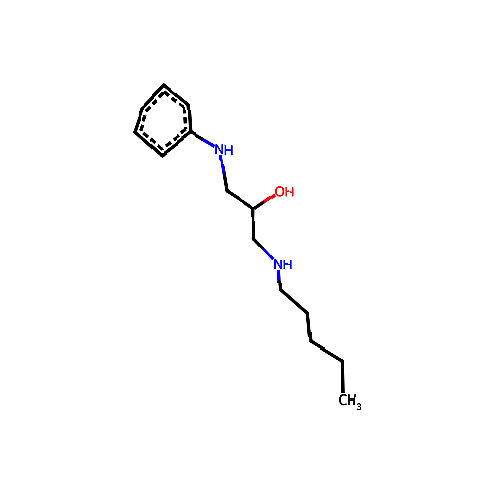 CCCCCNCC(O)CNc1ccccc1